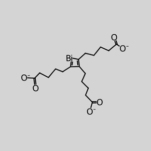 O=C([O-])CCCC[C]1=[Bi][C](CCCCC(=O)[O-])=C1CCCCC(=O)[O-]